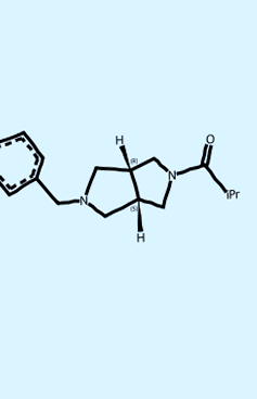 CC(C)C(=O)N1C[C@H]2CN(Cc3ccccc3)C[C@H]2C1